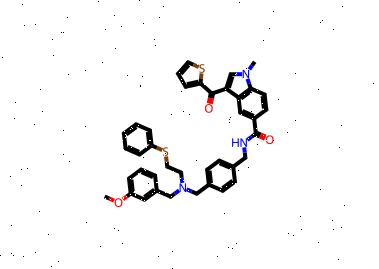 COc1cccc(CN(CCSc2ccccc2)Cc2ccc(CNC(=O)c3ccc4c(c3)c(C(=O)c3cccs3)cn4C)cc2)c1